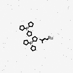 C1CCC(P(C2CCCC2)C2CCCC2)C1.C1CCC(P(C2CCCC2)C2CCCC2)C1.CC(C)=C[CH]=[Ru]